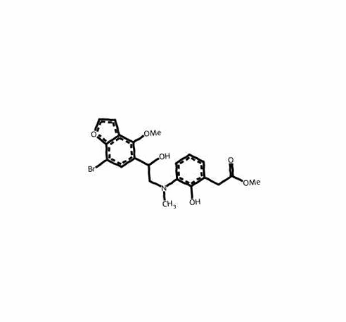 COC(=O)Cc1cccc(N(C)CC(O)c2cc(Br)c3occc3c2OC)c1O